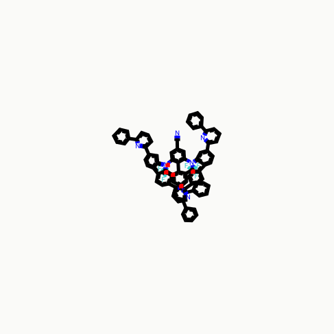 N#Cc1cc(-n2c3cc(-c4cccc(-c5ccccc5)n4)ccc3c3ccc(-c4cccc(-c5ccccc5)n4)cc32)c(-c2c(C(F)(F)F)cccc2C(F)(F)F)c(-n2c3cc(-c4cccc(-c5ccccc5)n4)ccc3c3ccc(-c4cccc(-c5ccccc5)n4)cc32)c1